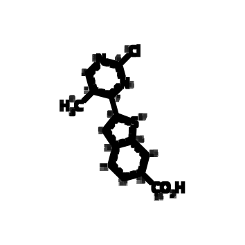 Cc1cnc(Cl)nc1-c1cc2ccc(C(=O)O)cc2s1